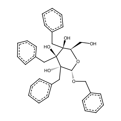 OC[C@H]1O[C@H](OCc2ccccc2)[C@@](O)(Cc2ccccc2)[C@](O)(Cc2ccccc2)[C@]1(O)Cc1ccccc1